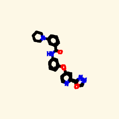 O=C(Nc1cccc(Oc2ccnc(-c3nnco3)c2)c1)c1cccc(N2CCCCC2)c1